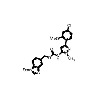 CCn1cnc2cc(COC(=O)Nc3cc(-c4ccc(Cl)cc4OC)nn3C)ccc21